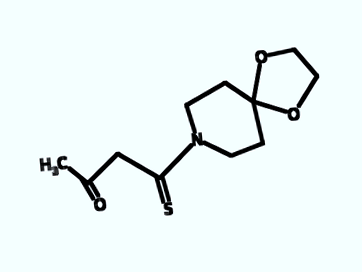 CC(=O)CC(=S)N1CCC2(CC1)OCCO2